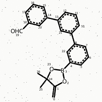 C=C1OB(c2cccc(-c3cccc(-c4cccc(C=O)c4)c3)c2)OC1(C)C